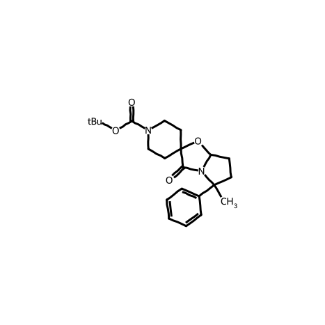 CC(C)(C)OC(=O)N1CCC2(CC1)OC1CCC(C)(c3ccccc3)N1C2=O